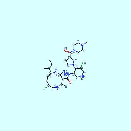 CCC(C)/C1=C/CC(F)/C=N\C(C)C(C(=O)NC2CNCC(F)C2N2CCC(C(=O)N3CCN(C)CC3)C2)C(N)N1